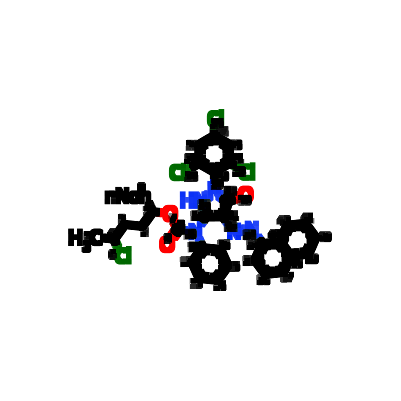 CCCCCCCCCC(CCC(C)Cl)OC(=O)N(c1ccccc1)c1[nH]n(-c2c(Cl)cc(Cl)cc2Cl)c(=O)c1N=Nc1cccc2ccccc12